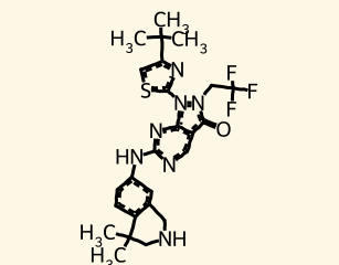 CC(C)(C)c1csc(-n2c3nc(Nc4ccc5c(c4)CNCC5(C)C)ncc3c(=O)n2CC(F)(F)F)n1